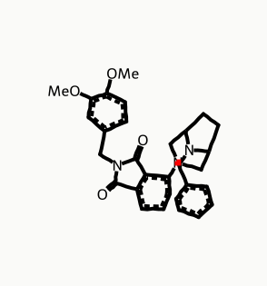 COc1ccc(CN2C(=O)c3cccc(N4CC5CCC(C4)N5Cc4ccccc4)c3C2=O)cc1OC